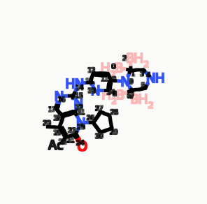 BC1(B)CNCC(B)(B)N1c1ccc(Nc2ncc3c(C)c(C(C)=O)c(=O)n(C4CCCC4)c3n2)nc1